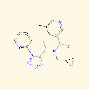 Cc1cncc(C(=O)N(CC2CC2)C(C)c2ncnn2-c2ccccn2)c1